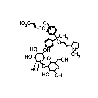 CN1CCC[C@@H]1CCO[C@](C)(c1ccccc1)c1ccc(Cl)cc1.O=C(O)/C=C/C(=O)O.OC[C@H]1O[C@@H](O[C@H]2[C@H](O)[C@@H](O)[C@H](O)O[C@@H]2CO)[C@H](O)[C@@H](O)[C@H]1O